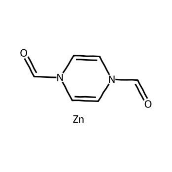 O=CN1C=CN(C=O)C=C1.[Zn]